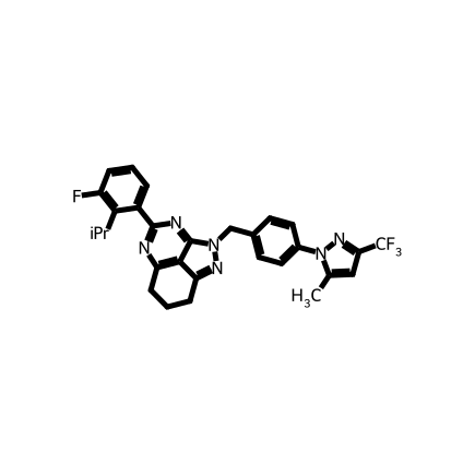 Cc1cc(C(F)(F)F)nn1-c1ccc(Cn2nc3c4c(nc(-c5cccc(F)c5C(C)C)nc42)CCC3)cc1